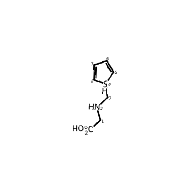 O=C(O)CNC[SH]1C=CC=C1